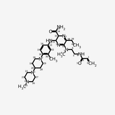 C=CC(=O)NCCN(C)C1=NC(Nc2ccc(N3CCC(N4CCN(C)CC4)CC3)c(C)c2)C(C(N)=O)N=C1CC